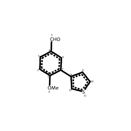 COc1ccc(C=O)cc1-c1ccsc1